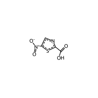 O=C(O)c1ncc([N+](=O)[O-])s1